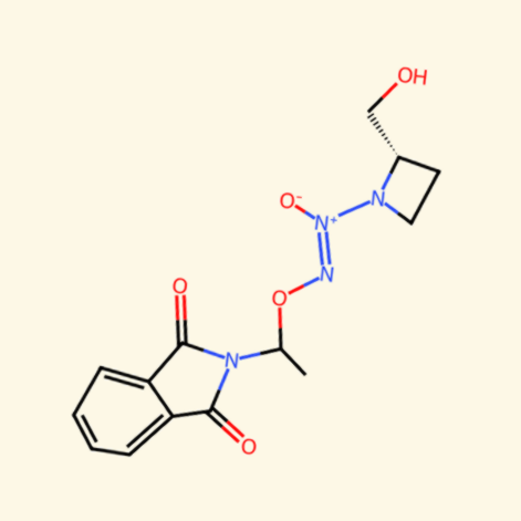 CC(O/N=[N+](\[O-])N1CC[C@H]1CO)N1C(=O)c2ccccc2C1=O